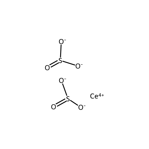 O=S([O-])[O-].O=S([O-])[O-].[Ce+4]